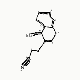 N#CCCC1COc2ccccc2C1=O